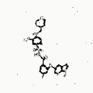 O=C(NS(=O)(=O)c1ccc(NCC2CCOCC2)c([N+](=O)[O-])c1)c1ccc(F)cc1Oc1cnc2[nH]ccc2c1